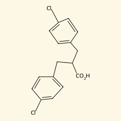 O=C(O)C(Cc1ccc(Cl)cc1)Cc1ccc(Cl)cc1